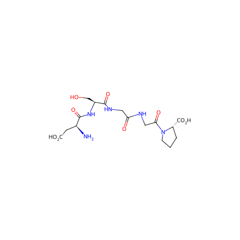 N[C@@H](CC(=O)O)C(=O)N[C@@H](CO)C(=O)NCC(=O)NCC(=O)N1CCC[C@H]1C(=O)O